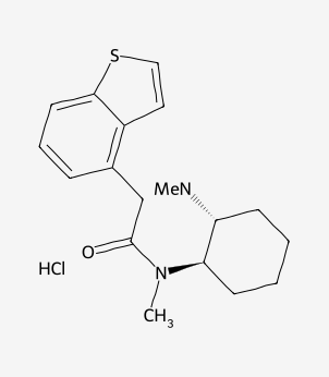 CN[C@@H]1CCCC[C@H]1N(C)C(=O)Cc1cccc2sccc12.Cl